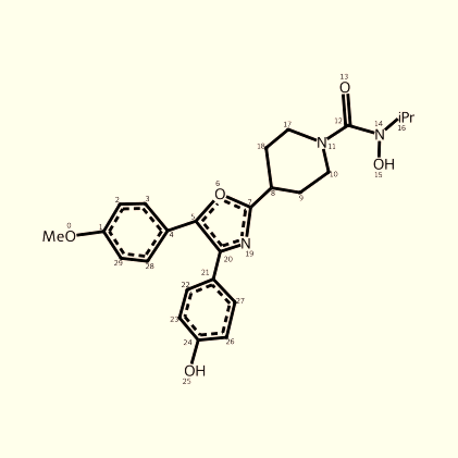 COc1ccc(-c2oc(C3CCN(C(=O)N(O)C(C)C)CC3)nc2-c2ccc(O)cc2)cc1